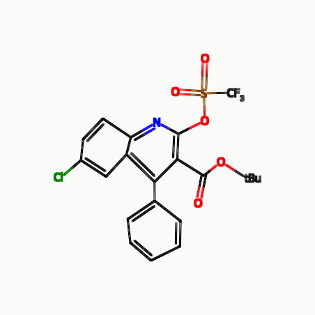 CC(C)(C)OC(=O)c1c(OS(=O)(=O)C(F)(F)F)nc2ccc(Cl)cc2c1-c1ccccc1